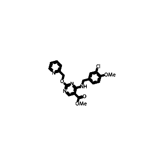 COC(=O)c1cnc(OCc2ccccn2)nc1NCc1ccc(OC)c(Cl)c1